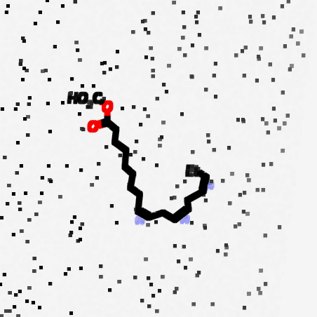 CC/C=C\C/C=C\C/C=C\CCCCCCCC(=O)OC(=O)O